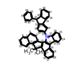 CC1(C)c2c(ccc3ccccc23)-c2c1c1ccccc1c1c3ccccc3n(-c3ccc4c(c3)-c3ccccc3C4c3ccccc3)c21